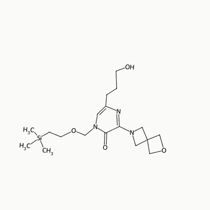 C[Si](C)(C)CCOCn1cc(CCCO)nc(N2CC3(COC3)C2)c1=O